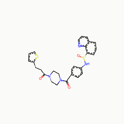 O=C(CCc1cccs1)N1CCN(C(=O)c2ccc(N[S+]([O-])c3cccc4cccnc34)cc2)CC1